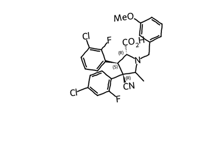 COc1cccc(CN2C(C)[C@](C#N)(c3ccc(Cl)cc3F)[C@@H](c3cccc(Cl)c3F)[C@@H]2C(=O)O)c1